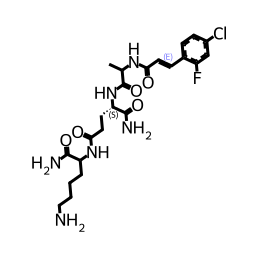 CC(NC(=O)/C=C/c1ccc(Cl)cc1F)C(=O)N[C@@H](CCC(=O)NC(CCCCN)C(N)=O)C(N)=O